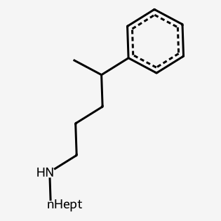 CCCCCCCNCCCC(C)c1ccccc1